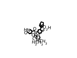 C[C@@H]1CN(c2cc(F)c(C3=CC4CCC(C3)N4C(=O)O)cc2NC(=O)c2c[nH]c(=O)cc2C(F)(F)F)C[C@H](C)N1C